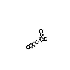 O=C(NC1CCN(Cc2cc3ccccc3nc2Cl)C1)C1C2CCC(C2)N1S(=O)(=O)CC1CCCCC1